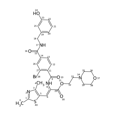 Cc1nc(C)c(C=C(NC(=O)c2ccc(C(=O)NCc3cccc(O)c3)cc2Br)C(=O)OCCN2CCOCC2)s1